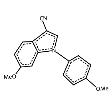 COc1ccc(-n2cc(C#N)c3ccc(OC)cc32)cc1